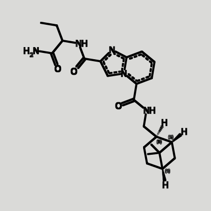 CCC(NC(=O)c1cn2c(C(=O)NC[C@@H]3CC[C@H]4C[C@@H]3C4(C)C)cccc2n1)C(N)=O